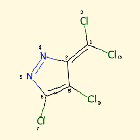 ClC(Cl)=C1N=NC(Cl)=C1Cl